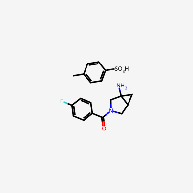 Cc1ccc(S(=O)(=O)O)cc1.NC12CC1CN(C(=O)c1ccc(F)cc1)C2